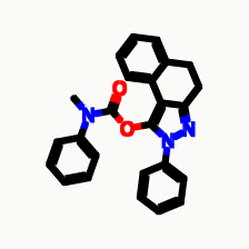 CN(C(=O)Oc1c2c(nn1-c1ccccc1)CCc1ccccc1-2)c1ccccc1